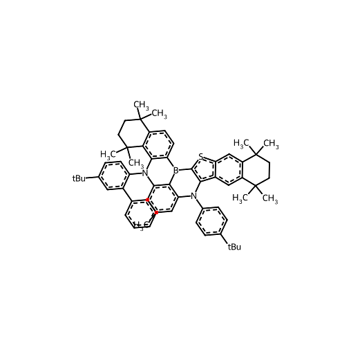 Cc1cc2c3c(c1)N(c1ccc(C(C)(C)C)cc1)c1c(sc4cc5c(cc14)C(C)(C)CCC5(C)C)B3c1ccc3c(c1N2c1ccc(C(C)(C)C)cc1-c1ccccc1)C(C)(C)CCC3(C)C